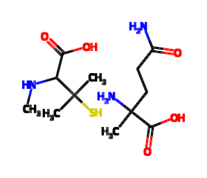 CC(N)(CCC(N)=O)C(=O)O.CNC(C(=O)O)C(C)(C)S